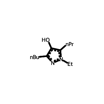 CCCCc1nn(CC)c(CCC)c1O